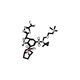 CC(C)C(=O)N1C2CCC1CN(c1cc(S(=O)(=O)N(COCC[Si](C)(C)C)C3(C)CC3)cc3c(-c4nnc(C(F)F)s4)nn(C)c13)C2